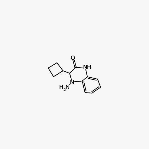 NN1c2ccccc2NC(=O)C1C1CCC1